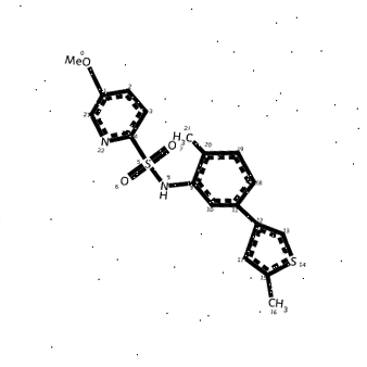 COc1ccc(S(=O)(=O)Nc2cc(-c3csc(C)c3)ccc2C)nc1